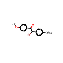 COc1ccc(C(Br)C(=O)c2ccc(OC(C)C)cc2)cc1